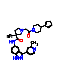 CCCC1(C(=O)Nc2ccc3[nH]nc(-c4ccnc(C)c4)c3c2)CCN(CC(=O)N2CCC(C3=CCC=C3)CC2)C1